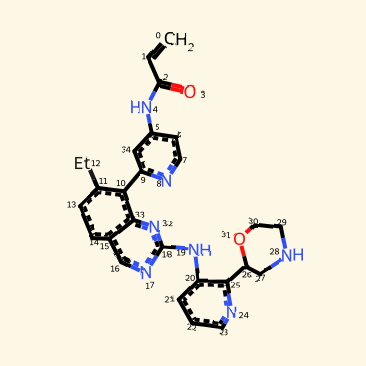 C=CC(=O)Nc1ccnc(-c2c(CC)ccc3cnc(Nc4cccnc4C4CNCCO4)nc23)c1